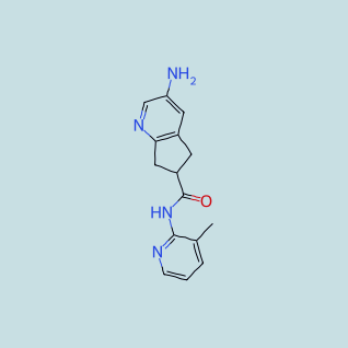 Cc1cccnc1NC(=O)C1Cc2cc(N)cnc2C1